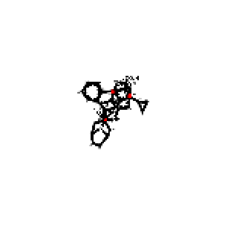 Cc1cc(C(=O)O)ccc1NC(=O)N1C2CCC1CC(OCc1c(-c3ccccc3C3CC3)noc1C1CC1)C2